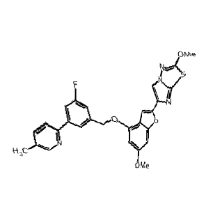 COc1cc(OCc2cc(F)cc(-c3ccc(C)cn3)c2)c2cc(-c3cn4nc(OC)sc4n3)oc2c1